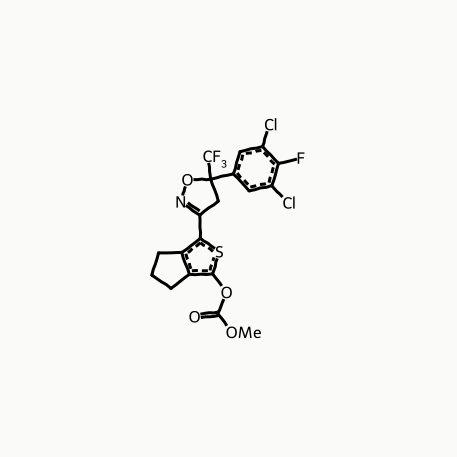 COC(=O)Oc1sc(C2=NOC(c3cc(Cl)c(F)c(Cl)c3)(C(F)(F)F)C2)c2c1CCC2